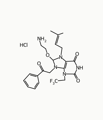 CC(C)=CCN1c2c(n(CC(F)(F)F)c(=O)[nH]c2=O)N(CC(=O)c2ccccc2)C1OCCN.Cl